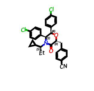 CC[C@@H](C1CC1)N1C(=O)[C@@H](Cc2ccc(C#N)cc2)O[C@H](c2ccc(Cl)cc2)[C@@H]1c1ccc(Cl)cc1